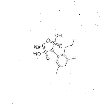 CCCc1c(C)cc(C)cc1N(S(=O)(=O)O)S(=O)(=O)O.[Na]